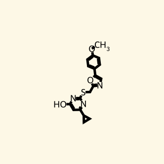 COc1ccc(-c2cnc(CSc3nc(O)cc(C4CC4)n3)o2)cc1